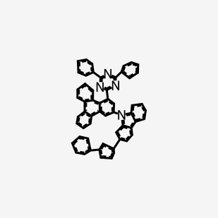 c1ccc(-c2cccc(-c3ccc4c5ccccc5n(-c5cc(-c6nc(-c7ccccc7)nc(-c7ccccc7)n6)c6c7ccccc7c7ccccc7c6c5)c4c3)c2)cc1